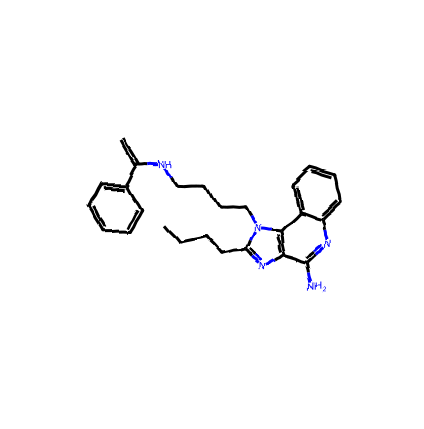 C=C(NCCCCn1c(CCCC)nc2c(N)nc3ccccc3c21)c1ccccc1